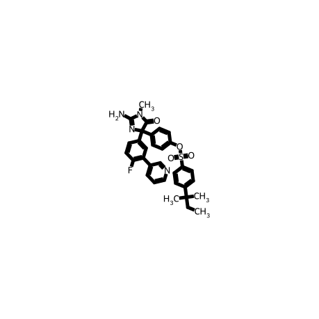 CCC(C)(C)c1ccc(S(=O)(=O)Oc2ccc(C3(c4ccc(F)c(-c5cccnc5)c4)N=C(N)N(C)C3=O)cc2)cc1